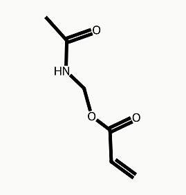 C=CC(=O)OCNC(C)=O